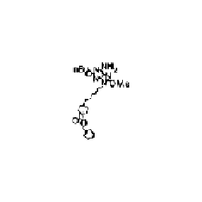 CCCCOc1nc(N)c2nc(OC)n(CCCCCCC3CCN(C(=O)OCc4ccccc4)CC3)c2n1